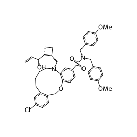 C=C[C@H](O)[C@@H]1CC[C@H]1CN1CCCCc2cc(Cl)ccc2COc2ccc(S(=O)(=O)N(Cc3ccc(OC)cc3)Cc3ccc(OC)cc3)cc21